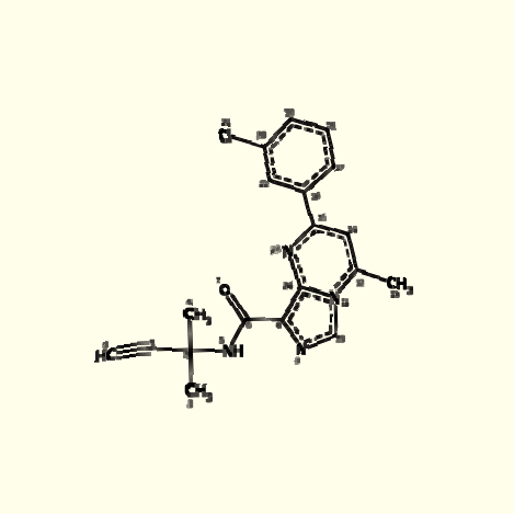 C#CC(C)(C)NC(=O)c1ncn2c(C)cc(-c3cccc(Cl)c3)nc12